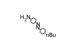 CCCCc1ccc(N=Nc2ccc(N)cc2)cc1